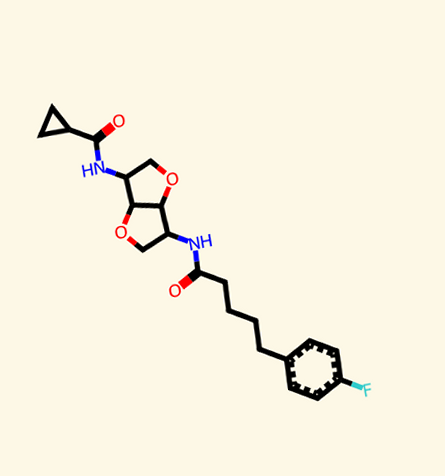 O=C(CCCCc1ccc(F)cc1)NC1COC2C(NC(=O)C3CC3)COC12